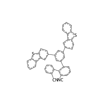 N#Cc1ccccc1-c1c(C#N)cccc1-c1cc(-c2ccc3sc4ccccc4c3c2)cc(-c2ccc3sc4ccccc4c3c2)c1